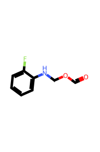 O=CO[CH]Nc1ccccc1F